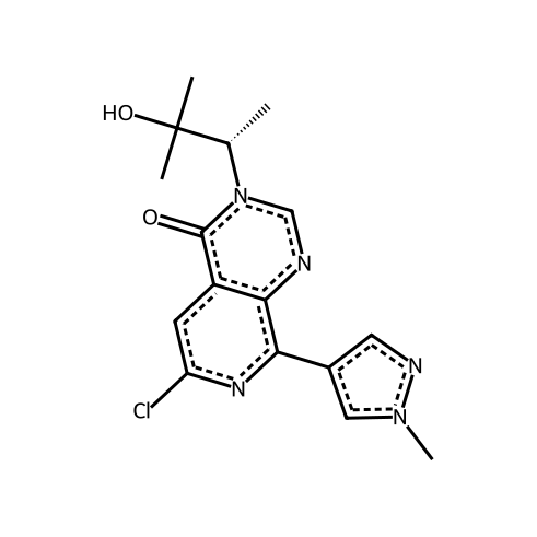 C[C@H](n1cnc2c(-c3cnn(C)c3)nc(Cl)cc2c1=O)C(C)(C)O